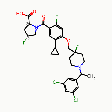 CC(c1cc(Cl)cc(Cl)c1)N1CCC(F)(COc2cc(F)c(C(=O)N3C[C@H](F)C[C@H]3C(=O)O)cc2C2CC2)CC1